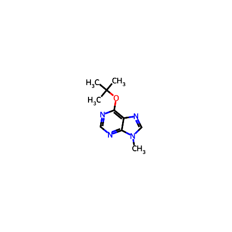 Cn1cnc2c(OC(C)(C)C)ncnc21